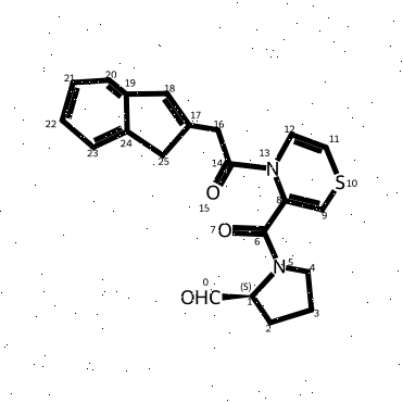 O=C[C@@H]1CCCN1C(=O)C1=CSC=CN1C(=O)CC1=Cc2ccccc2C1